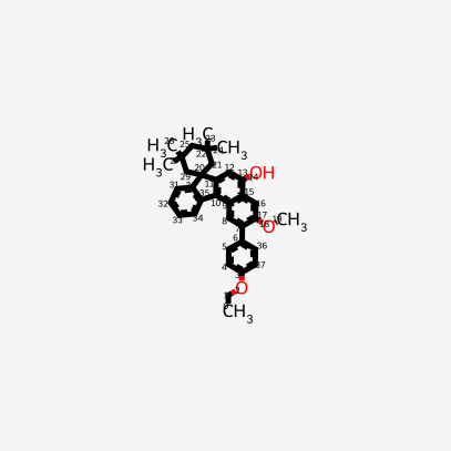 CCOc1ccc(-c2cc3c4c(cc(O)c3cc2OC)C2(CC(C)(C)CC(C)(C)C2)c2ccccc2-4)cc1